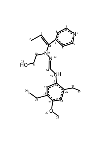 C/C=C(/c1ccncc1)N(CCO)/N=C/Nc1cc(CI)c(OC)cc1CC